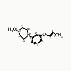 CC=COc1cncc(N2CCN(C)CC2)c1